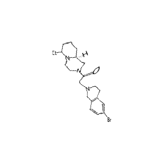 CCC1CCC[C@H]2CN(C(=O)CN3CCc4cc(Br)ccc4C3)CCN12